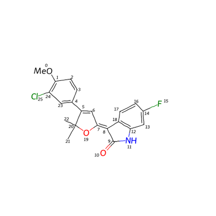 COc1ccc(C2=CC(=C3C(=O)Nc4cc(F)ccc43)OC2(C)C)cc1Cl